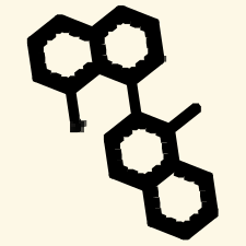 Cc1c(-c2[c]ccc3cccc(Br)c23)ccc2ccccc12